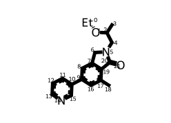 CCOC(C)CN1Cc2cc(-c3cccnc3)cc(C)c2C1=O